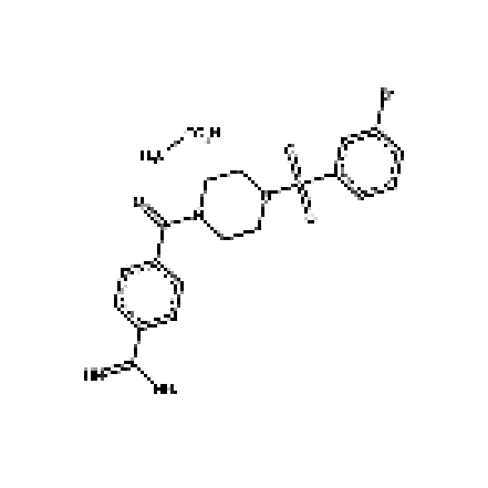 CC(=O)O.N=C(N)c1ccc(C(=O)N2CCN(S(=O)(=O)c3cccc(Br)c3)CC2)cc1